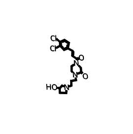 O=C(C=Cc1ccc(Cl)c(Cl)c1)N1CCN(CCCN2CCC(O)C2)C(=O)C1